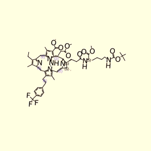 CCC1=C(C)/C2=C/c3c(/C=C/c4ccc(C(F)(F)F)cc4)c(C)c4n3Nn3/c(c(C)c(C(=O)OC)/c3=C(\CC(=O)OC)C3=N/C(=C\4)[C@@H](C)[C@@H]3CCC(=O)N[C@@H](CCCCNC(=O)OC(C)(C)C)C(=O)OC)=C\C1=N2